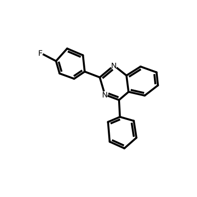 Fc1ccc(-c2nc(-c3ccccc3)c3ccccc3n2)cc1